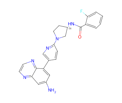 Nc1cc(-c2ccc(N3CC[C@H](NC(=O)c4ccccc4F)C3)nc2)c2nccnc2c1